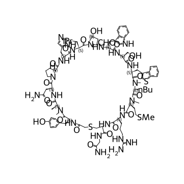 CCCC[C@H]1C(=O)N(C)[C@@H](CCSC)C(=O)N[C@@H](CCCNC(=N)N)C(=O)NC(C(=O)NCC(N)=O)CSCC(=O)N[C@@H](Cc2ccc(O)cc2)C(=O)N(C)[C@@H](C)C(=O)N[C@@H](CC(N)=O)C(=O)N2CCC[C@H]2C(=O)N[C@@H](Cc2cnc[nH]2)C(=O)N[C@@H](CC(C)C)C(=O)N2C[C@H](O)CC2(C=O)N[C@@H](Cc2c[nH]c3ccccc23)C(=O)N[C@@H](CO)C(=O)N[C@@H](Cc2csc3ccccc23)C(=O)N1C